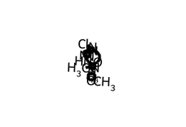 Cc1c2c(nn1[C@H]1CCO[C@@H](C)C1)OCCCn1nc(Cl)c3cnc(nc31)N2